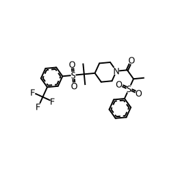 CC(C(=O)N1CCC(C(C)(C)S(=O)(=O)c2cccc(C(F)(F)F)c2)CC1)S(=O)(=O)c1ccccc1